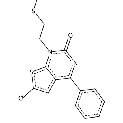 CSCCn1c(=O)nc(-c2ccccc2)c2cc(Cl)sc21